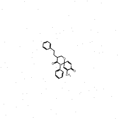 CC1=CC2(C=CC1=O)OCC(CCc1ccccc1)C(=O)N2c1ccccc1